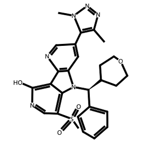 Cc1nnn(C)c1-c1cnc2c3c(O)ncc(S(C)(=O)=O)c3n([C@H](c3ccccc3)C3CCOCC3)c2c1